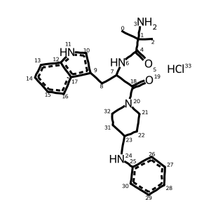 CC(C)(N)C(=O)NC(Cc1c[nH]c2ccccc12)C(=O)N1CCC(Nc2ccccc2)CC1.Cl